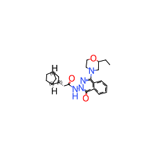 CCC1CN(c2nn(NC(=O)C[C@H]3C[C@@H]4CC[C@H]3C4)c(=O)c3ccccc23)CCO1